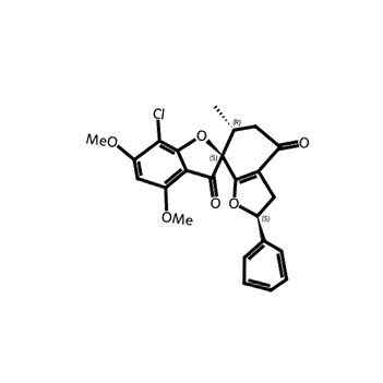 COc1cc(OC)c2c(c1Cl)O[C@]1(C2=O)C2=C(C[C@@H](c3ccccc3)O2)C(=O)C[C@H]1C